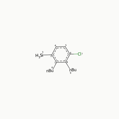 CCCCc1c([SiH3])ccc(Cl)c1CCCC